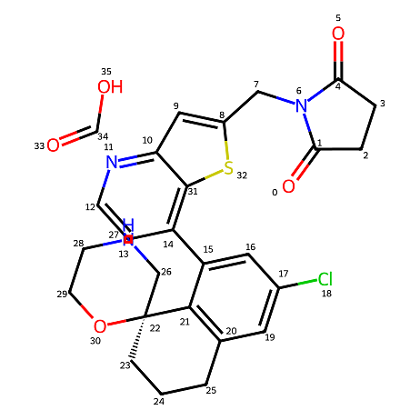 O=C1CCC(=O)N1Cc1cc2nccc(-c3cc(Cl)cc4c3[C@]3(CCC4)CNCCO3)c2s1.O=CO